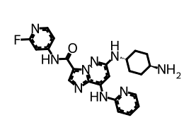 N[C@H]1CC[C@H](Nc2cc(Nc3ccccn3)c3ncc(C(=O)Nc4ccnc(F)c4)n3n2)CC1